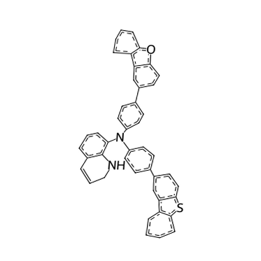 C1=Cc2cccc(N(c3ccc(-c4ccc5oc6ccccc6c5c4)cc3)c3ccc(-c4ccc5sc6ccccc6c5c4)cc3)c2NC1